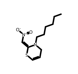 CCCCCCN1CC=CSC1=C[N+](=O)[O-]